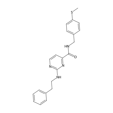 CSc1ccc(CNC(=O)c2ccnc(NCCc3ccccc3)n2)cc1